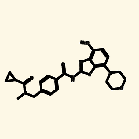 COc1ccc(N2CCOCC2)c2sc(NC(=O)c3ccc(CN(C)C(=O)C4CC4)cc3)nc12